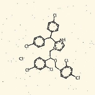 Clc1ccc(C(c2ccc(Cl)cc2)c2[nH]cc[n+]2CC(OCc2ccc(Cl)cc2Cl)c2ccc(Cl)cc2Cl)cc1.[Cl-]